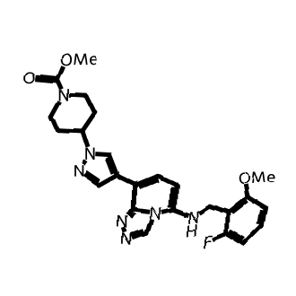 COC(=O)N1CCC(n2cc(-c3ccc(NCc4c(F)cccc4OC)n4cnnc34)cn2)CC1